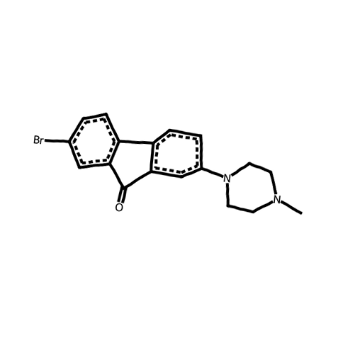 CN1CCN(c2ccc3c(c2)C(=O)c2cc(Br)ccc2-3)CC1